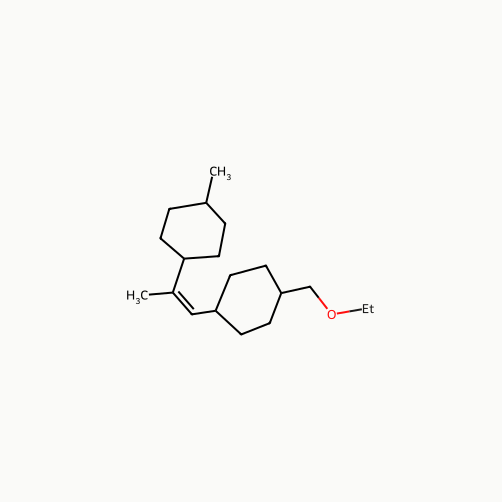 CCOCC1CCC(C=C(C)C2CCC(C)CC2)CC1